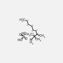 CCCCCCC(C)C(C)(C)N.O=S(=O)(O)O